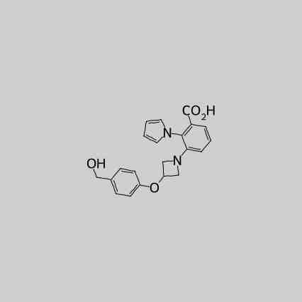 O=C(O)c1cccc(N2CC(Oc3ccc(CO)cc3)C2)c1-n1cccc1